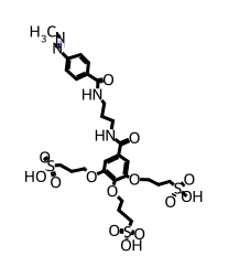 C/N=N/c1ccc(C(=O)NCCCNC(=O)c2cc(OCCCS(=O)(=O)O)c(OCCCS(=O)(=O)O)c(OCCCS(=O)(=O)O)c2)cc1